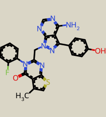 Cc1csc2nc(Cn3nc(-c4ccc(O)cc4)c4c(N)ncnc43)n(-c3ccccc3F)c(=O)c12